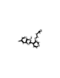 Cc1cnc2c(c1)nc(-c1ccncc1SCCC#N)n2C